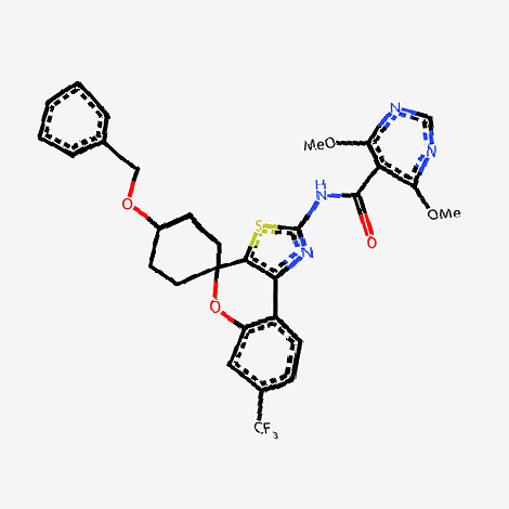 COc1ncnc(OC)c1C(=O)Nc1nc2c(s1)C1(CCC(OCc3ccccc3)CC1)Oc1cc(C(F)(F)F)ccc1-2